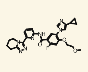 COCCOc1cc(F)c(C(=O)Nc2cccc(-c3nnc4n3CCCC4)n2)cc1-n1cnc(C2CC2)c1